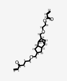 C=CC(=O)CCCOCC1CC2C3CC(COCCOC(=O)C=C)C(C3)C2C1